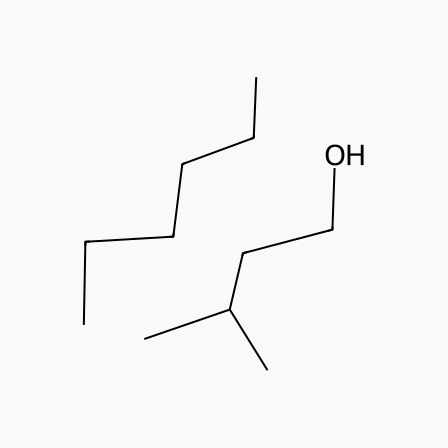 CC(C)CCO.CCCCCC